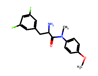 COc1ccc(N(C)C(=O)C(N)Cc2cc(F)cc(F)c2)cc1